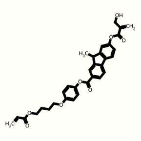 C=CC(=O)OCCCCOc1ccc(OC(=O)c2ccc3c(c2)C(C)c2cc(OC(=O)C(=C)CO)ccc2-3)cc1